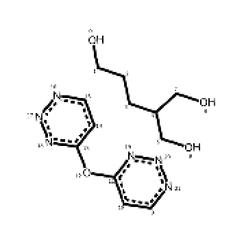 OCCCC(CO)CO.c1cc(Oc2ccnnn2)nnn1